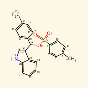 Cc1ccc(S(=O)(=O)OC(c2ccc(C(F)(F)F)cc2)c2c[nH]c3ccccc23)cc1